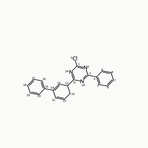 Clc1nc(-c2ccccc2)nc(C2C=C(c3ccccc3)C=CC2)n1